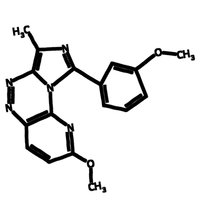 COc1cccc(-c2nc(C)c3nnc4ccc(OC)nc4n23)c1